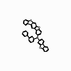 c1ccc(-c2cccc(N(c3ccc4c(c3)oc3ccccc34)c3ccc4oc5cc6sc7ccccc7c6cc5c4c3)c2)cc1